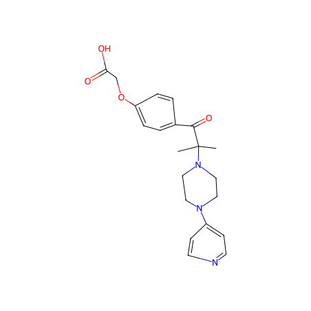 CC(C)(C(=O)c1ccc(OCC(=O)O)cc1)N1CCN(c2ccncc2)CC1